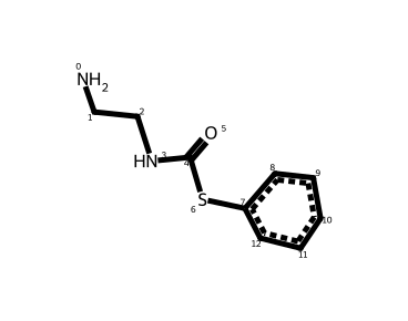 NCCNC(=O)Sc1ccccc1